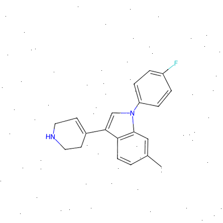 Cc1ccc2c(C3=CCNCC3)cn(-c3ccc(F)cc3)c2c1